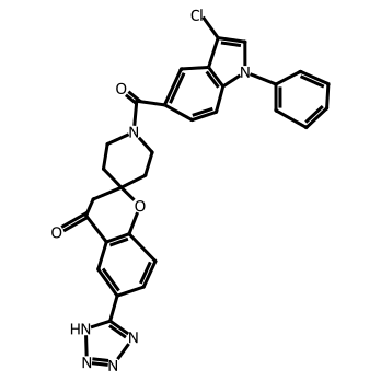 O=C1CC2(CCN(C(=O)c3ccc4c(c3)c(Cl)cn4-c3ccccc3)CC2)Oc2ccc(-c3nnn[nH]3)cc21